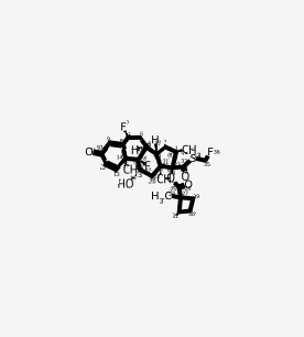 C[C@@H]1C[C@H]2[C@@H]3C[C@H](F)C4=CC(=O)C=C[C@]4(C)[C@@]3(F)[C@@H](O)C[C@]2(C)[C@@]1(OC(=O)C1(C)CCC1)C(=O)SCF